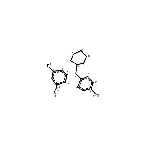 Fc1cc([C@@H](c2ccc(Cl)cn2)C2CCCCC2)cc(C(F)(F)F)c1